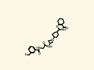 O=C(CNC(=O)c1cccc(CF)c1)NC1CN(C2CCC(c3nc4c(c(=O)[nH]3)CCCC4)CC2)C1